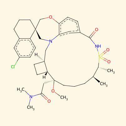 CO[C@]1(CC(=O)N(C)C)CCC[C@H](C)[C@@H](C)S(=O)(=O)NC(=O)c2ccc3c(c2)N(C[C@@H]2CC[C@H]21)C[C@@]1(CCCc2cc(Cl)ccc21)CO3